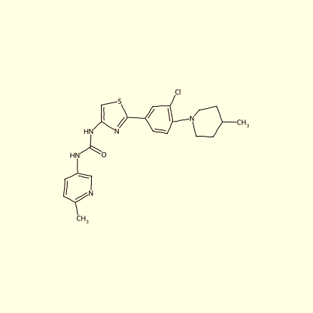 Cc1ccc(NC(=O)Nc2csc(-c3ccc(N4CCC(C)CC4)c(Cl)c3)n2)cn1